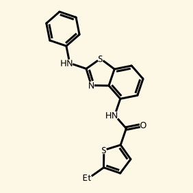 CCc1ccc(C(=O)Nc2cccc3sc(Nc4ccccc4)nc23)s1